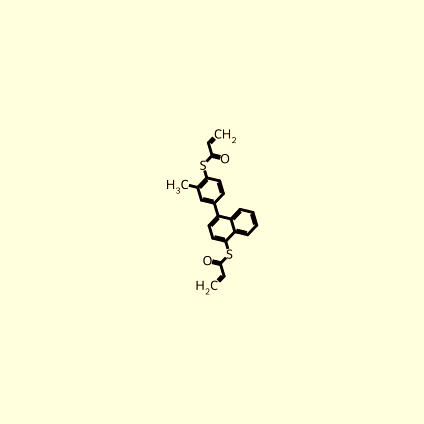 C=CC(=O)Sc1ccc(-c2ccc(SC(=O)C=C)c3ccccc23)cc1C